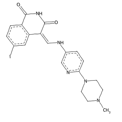 CN1CCN(c2ccc(N/C=C3\C(=O)NC(=O)c4ccc(I)cc43)cn2)CC1